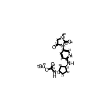 CN1CC(=O)N(c2ccc(N[C@H]3CC[C@H](NC(=O)OC(C)(C)C)C3)nc2)C1=O